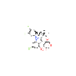 CC1(C)COC2(CCCOC2)c2c1n(-c1ccc(F)c(F)c1)c1cc(F)cc(O)c21